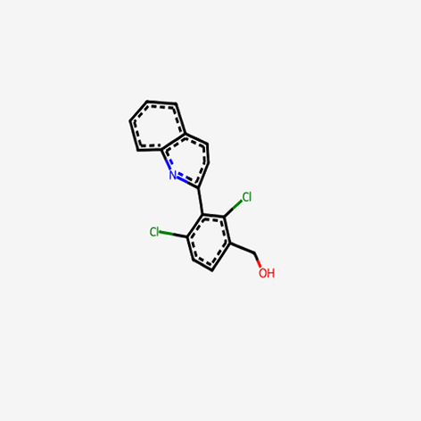 OCc1ccc(Cl)c(-c2ccc3ccccc3n2)c1Cl